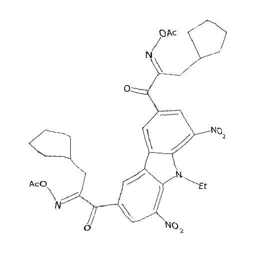 CCn1c2c([N+](=O)[O-])cc(C(=O)/C(CC3CCCC3)=N/OC(C)=O)cc2c2cc(C(=O)/C(CC3CCCC3)=N/OC(C)=O)cc([N+](=O)[O-])c21